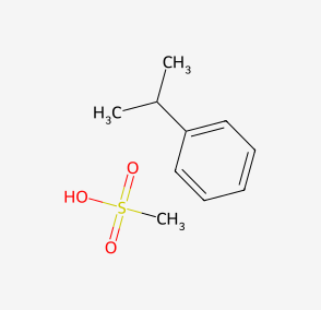 CC(C)c1ccccc1.CS(=O)(=O)O